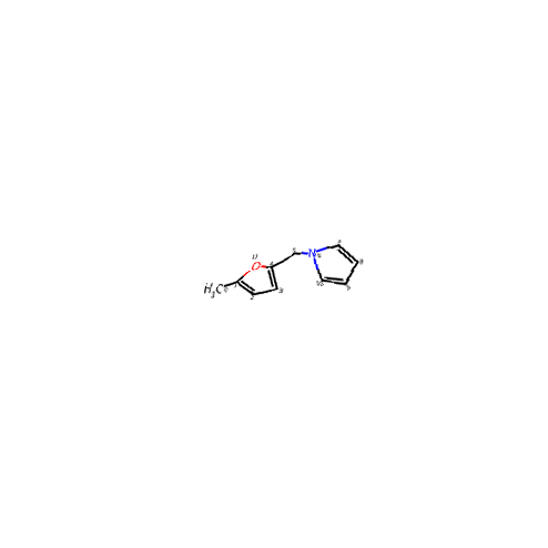 Cc1ccc(Cn2cccc2)o1